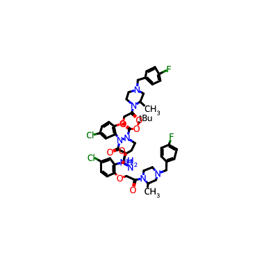 CC1CN(Cc2ccc(F)cc2)CCN1C(=O)COc1ccc(Cl)cc1NC(=O)CCN(C(=O)OC(C)(C)C)N(C(=O)CCN)c1cc(Cl)ccc1OCC(=O)N1CCN(Cc2ccc(F)cc2)CC1C